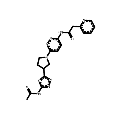 CC(=O)Nc1nnc(C2CCN(c3ccc(NC(=O)Cc4ccccn4)nn3)C2)s1